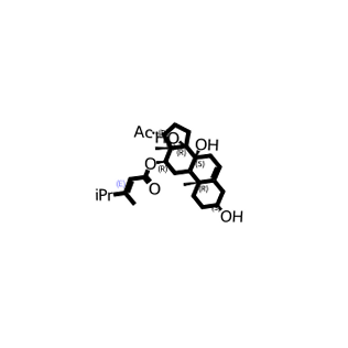 CC(=O)[C@@H]1CC[C@@]2(O)[C@]1(C)[C@H](OC(=O)/C=C(\C)C(C)C)CC1[C@@]3(C)CC[C@H](O)CC3=CC[C@]12O